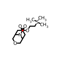 CS(C)(C)CCOC(=O)N1C2COCC1CC(=O)C2